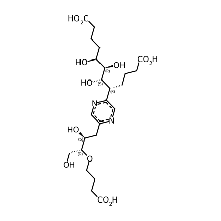 O=C(O)CCCO[C@H](CO)[C@@H](O)Cc1cnc([C@@H](CCCC(=O)O)[C@H](O)[C@H](O)C(O)CCCC(=O)O)cn1